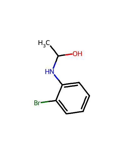 CC(O)Nc1ccccc1Br